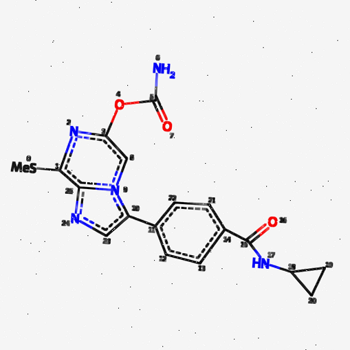 CSc1nc(OC(N)=O)cn2c(-c3ccc(C(=O)NC4CC4)cc3)cnc12